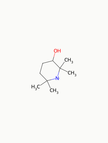 CC1(C)CCC(O)C(C)(C)[N]1